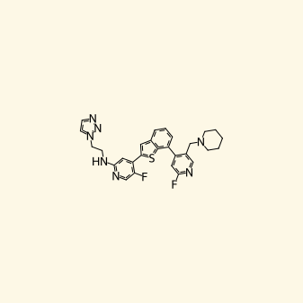 Fc1cc(-c2cccc3cc(-c4cc(NCCn5ccnn5)ncc4F)sc23)c(CN2CCCCC2)cn1